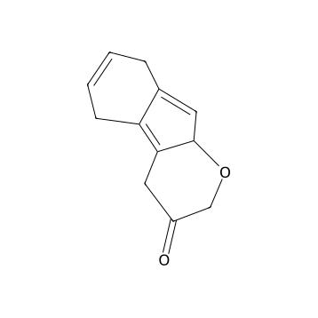 O=C1COC2C=C3CC=CCC3=C2C1